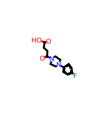 O=C(O)CCC(=O)N1CCN(c2ccc(F)cc2)CC1